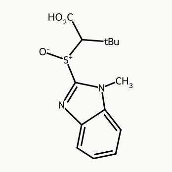 Cn1c([S+]([O-])C(C(=O)O)C(C)(C)C)nc2ccccc21